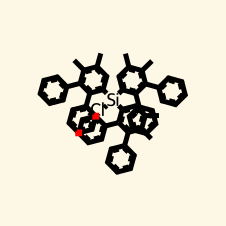 Cc1cc([Si](Cl)(c2cc(C)c(C)c(-c3ccccc3)c2-c2ccccc2)c2cc(C)c(C)c(-c3ccccc3)c2-c2ccccc2)c(-c2ccccc2)c(-c2ccccc2)c1C